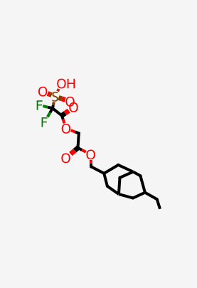 CCC1CC2CC(COC(=O)COC(=O)C(F)(F)S(=O)(=O)O)CC(C1)C2